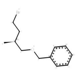 C[C@@H](CCBr)COCc1ccccc1